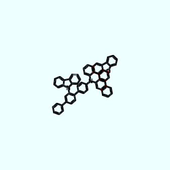 c1ccc(-c2cccc(-c3ccccc3N(c3ccc(-c4ccc(-c5ccccc5)cc4-n4c5ccccc5c5ccccc54)cc3)c3ccccc3-c3cccc4c3oc3ccccc34)c2)cc1